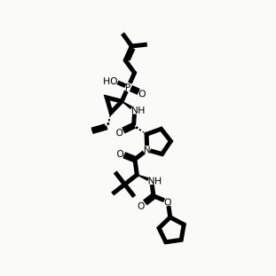 C=C[C@@H]1C[C@]1(NC(=O)[C@@H]1CCCN1C(=O)[C@@H](NC(=O)OC1CCCC1)C(C)(C)C)P(=O)(O)CC=C(C)C